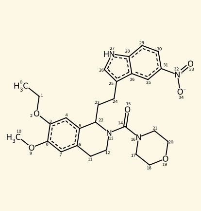 CCOc1cc2c(cc1OC)CCN(C(=O)N1CCOCC1)C2CCc1c[nH]c2ccc([N+](=O)[O-])cc12